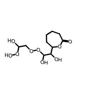 O=C1CCCCC(C(O)C(O)OOCC(O)OO)O1